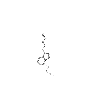 CCOc1cccc2c(CCO[C]=O)scc12